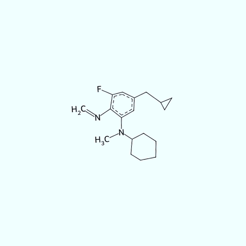 C=Nc1c(F)cc(CC2CC2)cc1N(C)C1CCCCC1